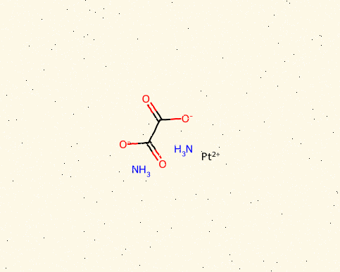 N.N.O=C([O-])C(=O)[O-].[Pt+2]